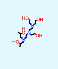 CC(O)CN(CCN(CCO)CCN(CCO)CCO)CC(C)O